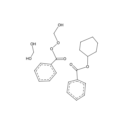 O=C(OC1CCCCC1)c1ccccc1.O=C(OOCO)c1ccccc1.OCO